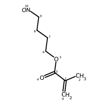 C=C(C)C(=O)OCCCCN=O